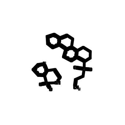 C=CCS(=O)(=O)C1=c2ccc3c(c2CCC1)CC=c1ccccc1=3.O=S1(=O)NC=Cc2ncccc21